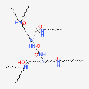 CCCCCCCCCCCNC(=O)CCCCCN(CCCCCCC(C)(C)C(O)NC(CCCCCCCC)CCCCCCCC)CCNC(=O)CCC(=O)NCCN(CCCCCCCC(=O)NC(CCCCCCCC)CCCCCCCC)CCCCC(C)(C)C(=O)NCCCCCCCCC